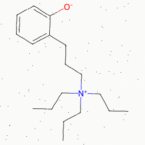 CCC[N+](CCC)(CCC)CCCc1ccccc1[O-]